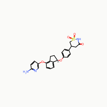 Nc1ccc(Oc2cccc3c2CC[C@H]3Oc2ccc(C3CC(=O)NS(=O)(=O)C3)cc2)cn1